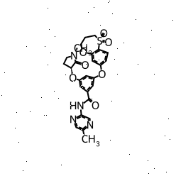 Cc1cnc(NC(=O)c2cc(Oc3ccc4c(c3)OCCCS4(=O)=O)cc(O[C@H]3CCN(C)C3=O)c2)cn1